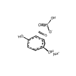 C=O.O=S([O-])O.Oc1ccc(O)cc1.[Na+]